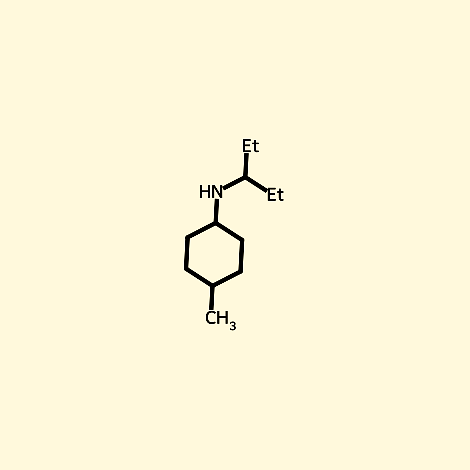 CCC(CC)NC1CCC(C)CC1